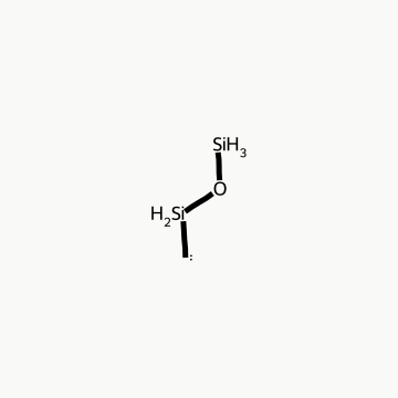 [CH][SiH2]O[SiH3]